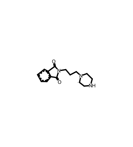 O=C1c2ccccc2C(=O)N1CCCN1[CH]CNCC1